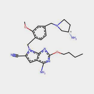 CCCCOc1nc(N)c2cc(C#N)n(Cc3ccc(CN4CC[C@H](N)C4)cc3OC)c2n1